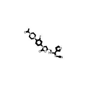 CC(=O)N1CCN(c2ccc(N3C[C@H](CN/C(=N/C#N)c4ccoc4)OC3=O)cc2F)CC1